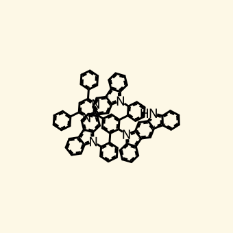 c1ccc(-c2cc(-c3ccccc3)nc(-c3cc(-c4ccccc4-n4c5ccccc5c5ccccc54)c(-n4c5ccccc5c5cc6c(cc54)[nH]c4ccccc46)c(-c4ccccc4-n4c5ccccc5c5ccccc54)c3)n2)cc1